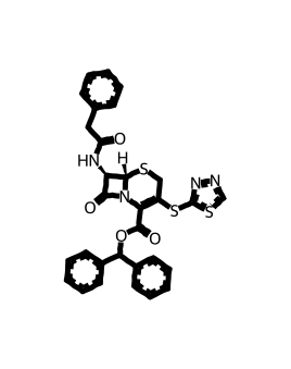 O=C(Cc1ccccc1)N[C@@H]1C(=O)N2C(C(=O)OC(c3ccccc3)c3ccccc3)=C(Sc3nncs3)CS[C@@H]12